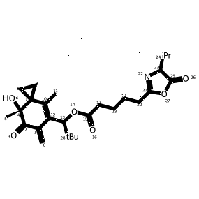 C=C1C(=O)[C@](C)(O)C2(CC2)C(C)=C1C(OC(=O)CCCCC1=NC(C(C)C)C(=O)O1)C(C)(C)C